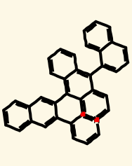 c1cncc(-c2cc3ccccc3cc2-c2c3ccccc3c(-c3cccc4ccccc34)c3ccccc23)c1